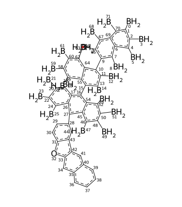 Bc1c(B)c(B)c2c(B)c(-c3c(B)c(B)c(-c4c5c(B)c(B)c(B)c(B)c5c(-c5ccc6oc7cc8ccccc8cc7c6c5)c5c(B)c(B)c(B)c(B)c45)c4c(B)c(B)c(B)c(B)c34)c(B)c(B)c2c1B